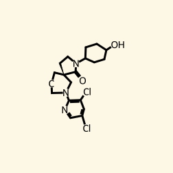 O=C1N(C2CCC(O)CC2)CC[C@@]12CCCN(c1ncc(Cl)cc1Cl)C2